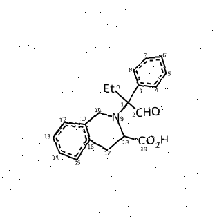 CCC(C=O)(c1ccccc1)N1Cc2ccccc2CC1C(=O)O